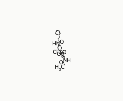 C=CC(=O)NC1CN(S(=O)(=O)c2ccc(NC(=O)CCc3ccccc3)cc2Cl)C1